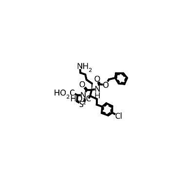 NCCCC[C@](NC(=O)OCc1ccccc1)(C(=O)N1CSCC1C(=O)O)C(CCc1ccc(Cl)cc1)C(=O)O